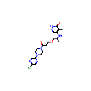 Cc1c(N[C@@H](C)COCCC(=O)N2CCN(c3cnc(Cl)cn3)CC2)cn[nH]c1=O